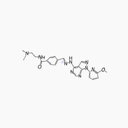 COc1cccc(-n2ncc3c(N/N=C/c4ccc(C(=O)NCCN(C)C)cc4)ncnc32)n1